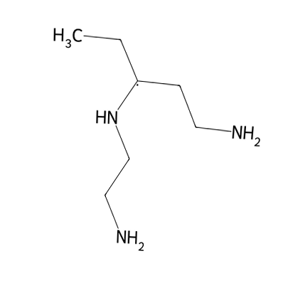 CC[C](CCN)NCCN